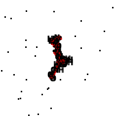 CC(=O)c1nc(-c2ccc3nccc(C(=O)Nc4nc5ccccc5s4)c3c2)ccc1-c1cnn(CC23CC4(C)CC(C)(C2)CC(OCCN(C)C(=O)OCc2ccc(OCCOCCNC(=O)CCCCCN5C(=O)C=CC5=O)cc2O[C@@H]2O[C@H](C(=O)O)[C@@H](O)[C@H](O)[C@H]2O)(C4)C3)c1C